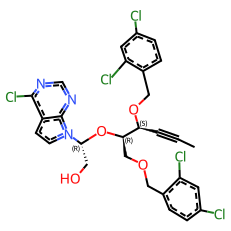 CC#C[C@H](OCc1ccc(Cl)cc1Cl)[C@@H](COCc1ccc(Cl)cc1Cl)O[C@H](CO)n1ccc2c(Cl)ncnc21